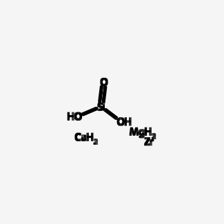 O=[Si](O)O.[CaH2].[MgH2].[Zr]